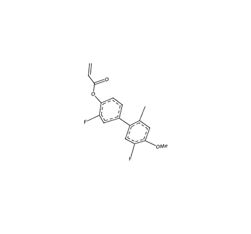 C=CC(=O)Oc1ccc(-c2cc(F)c(OC)cc2C)cc1F